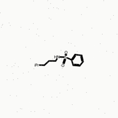 CC(C)CCCNS(=O)(=O)c1ccccc1